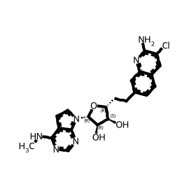 CNc1ncnc2c1ccn2[C@@H]1O[C@H](CCc2ccc3cc(Cl)c(N)nc3c2)[C@@H](O)[C@H]1O